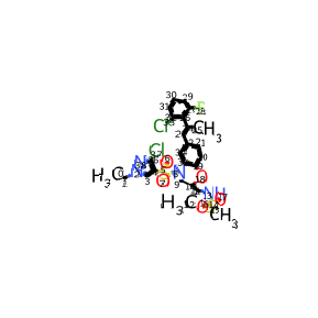 CCn1cc(S(=O)(=O)N2C[C@H]([C@@H](C)NS(C)(=O)=O)Oc3ccc(C=C(C)c4c(F)cccc4Cl)cc32)c(Cl)n1